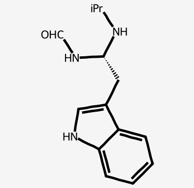 CC(C)N[C@H](Cc1c[nH]c2ccccc12)NC=O